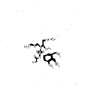 CCOCN(C(C)CC)S(=O)(=O)OC(=O)CO.Cc1cccc(C)c1N